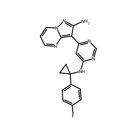 Nc1nn2cccnc2c1-c1cc(NC2(c3ccc(F)cc3)CC2)ncn1